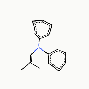 CC(C)=CN(c1ccccc1)c1ccccc1